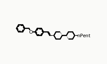 CCCCC[C@H]1CC[C@H]([C@H]2CC[C@H](C=Cc3ccc(OCc4ccccc4)cc3)CC2)CC1